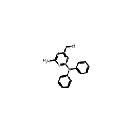 Nc1nc(CCl)nc(N(c2ccccc2)c2ccccc2)n1